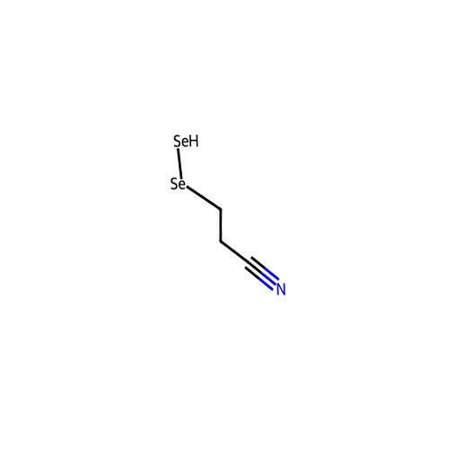 N#CCC[Se][SeH]